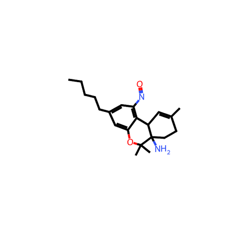 CCCCCc1cc(N=O)c2c(c1)OC(C)(C)C1(N)CCC(C)=CC21